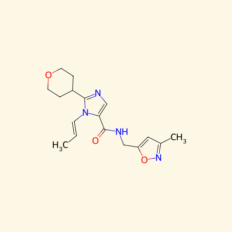 C/C=C/n1c(C(=O)NCc2cc(C)no2)cnc1C1CCOCC1